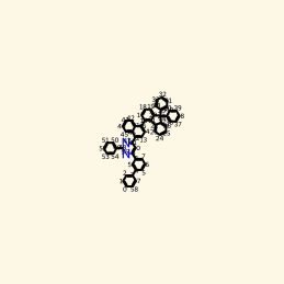 c1ccc(-c2cccc(-c3cc(-c4ccc(-c5cccc6c5-c5ccccc5C6(c5ccccc5)c5ccccc5)c5ccccc45)nc(-c4ccccc4)n3)c2)cc1